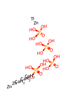 O=P(O)(O)O.O=P(O)(O)O.O=P(O)(O)O.O=P(O)(O)O.[CaH2].[CaH2].[CaH2].[Tl].[Zn].[Zn].[Zn]